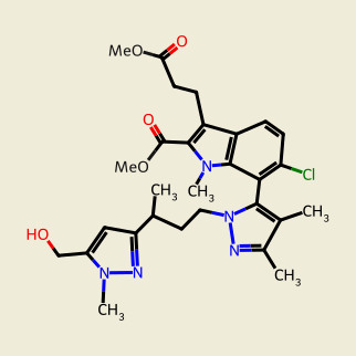 COC(=O)CCc1c(C(=O)OC)n(C)c2c(-c3c(C)c(C)nn3CCC(C)c3cc(CO)n(C)n3)c(Cl)ccc12